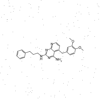 COc1ccc(Cc2ccnc3nc(NCCCc4ccccc4)nc(N)c23)cc1OC